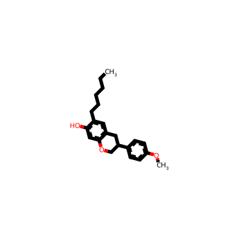 CCCCCCc1cc2c(cc1O)OCC(c1ccc(OC)cc1)C2